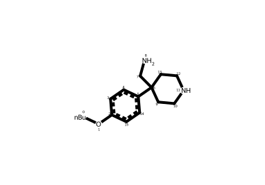 CCCCOc1ccc(C2(CN)CCNCC2)cc1